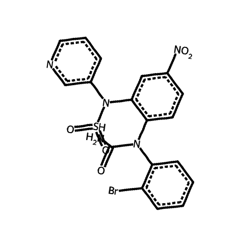 NC(=O)N(c1ccccc1Br)c1ccc([N+](=O)[O-])cc1N(c1cccnc1)[SH](=O)=O